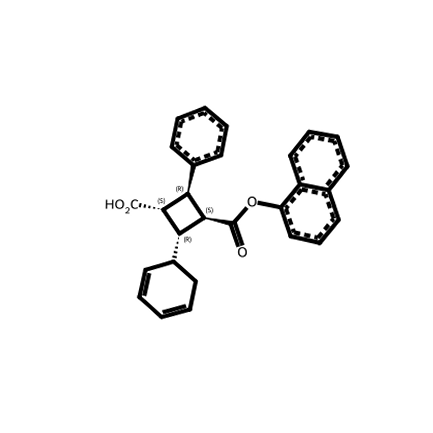 O=C(O)[C@@H]1[C@@H](c2ccccc2)[C@@H](C(=O)Oc2cccc3ccccc23)[C@@H]1C1C=CC=CC1